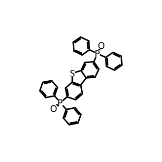 O=P(c1ccccc1)(c1ccccc1)c1ccc2c(c1)sc1cc(P(=O)(c3ccccc3)c3ccccc3)ccc12